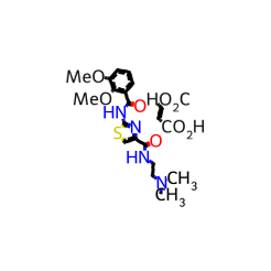 COc1cccc(C(=O)Nc2nc(C(=O)NCCN(C)C)cs2)c1OC.O=C(O)C=CC(=O)O